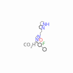 O=C(O)C[C@@H](c1ccc(-c2ccccc2)c(F)c1)N1CCN(CCCc2ccc3c(n2)NCCC3)C1=O